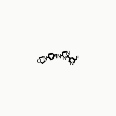 Fc1cncc(-c2nccc(NCc3ccc(N4CCOCC4)cc3)n2)c1